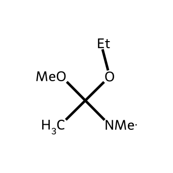 CCOC(C)([N]C)OC